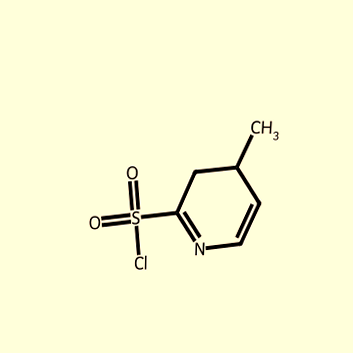 CC1C=CN=C(S(=O)(=O)Cl)C1